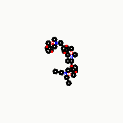 c1ccc(-c2ccc(N(c3ccc(-c4ccccc4)cc3)c3cccc4c3Oc3ccccc3C43c4cccc5ccc6c(-c7ccc(N(c8ccccc8)c8cccc9c8Oc8ccccc8C98c9cccc%10cc(-c%11cccc(N(c%12ccccc%12)c%12cccc%13c%12Oc%12ccccc%12C%13%12c%13cccc%14ccc%15cccc%12c%15c%13%14)c%11)c%11cccc8c%11c9%10)c8ccccc78)ccc3c6c45)cc2)cc1